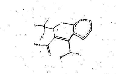 O=C(O)C1=C(C(F)F)c2ccccc2OC1C(F)(F)F